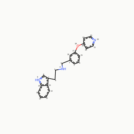 c1cc(CNCCc2c[nH]c3ccccc23)cc(Oc2ccncc2)c1